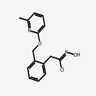 Cc1cccc(OCc2ccccc2CC(Cl)=NO)n1